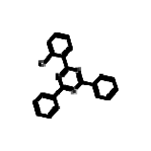 Clc1ccccc1-c1nc(-c2ccccc2)nc(-c2ccccc2)n1